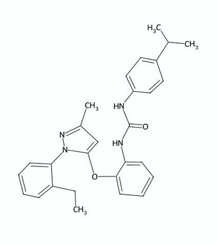 CCc1ccccc1-n1nc(C)cc1Oc1ccccc1NC(=O)Nc1ccc(C(C)C)cc1